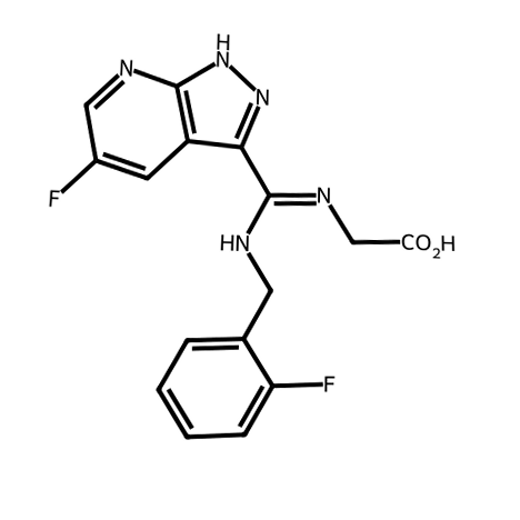 O=C(O)CN=C(NCc1ccccc1F)c1n[nH]c2ncc(F)cc12